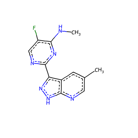 CNc1nc(-c2n[nH]c3ncc(C)cc23)ncc1F